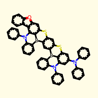 c1ccc(N(c2ccccc2)c2cc3c4c(c2)N(c2ccccc2)c2ccccc2B4c2cc4c(cc2S3)Sc2cc3oc5ccccc5c3c3c2B4c2ccccc2N3c2ccccc2)cc1